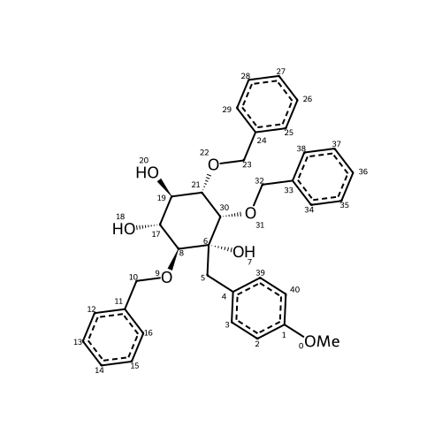 COc1ccc(C[C@@]2(O)[C@@H](OCc3ccccc3)[C@H](O)[C@@H](O)[C@H](OCc3ccccc3)[C@@H]2OCc2ccccc2)cc1